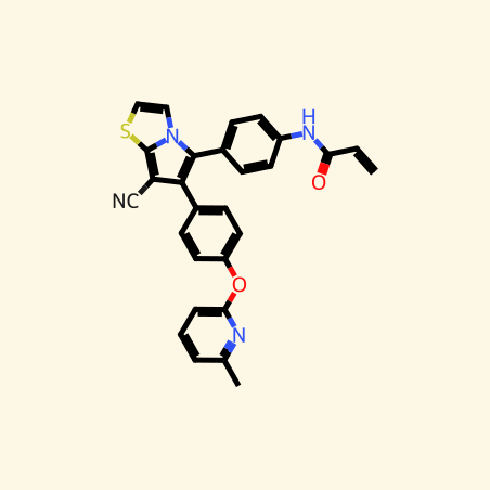 C=CC(=O)Nc1ccc(-c2c(-c3ccc(Oc4cccc(C)n4)cc3)c(C#N)c3sccn23)cc1